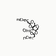 CCCCCCCCCCCC(=O)OC1=C(C)OCC(OC(=O)CCCCCCCCCCC)C1C=O